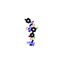 Cc1ccc(N(C)C(=O)Cn2c(=O)n(C)c3c(-c4cc(C)c(OCc5nnc[nH]5)c(F)c4)cc(F)cc32)cc1